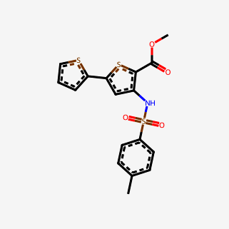 COC(=O)c1sc(-c2cccs2)cc1NS(=O)(=O)c1ccc(C)cc1